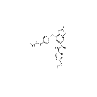 CCOc1ccc(NC(=O)c2cc(Oc3ccc(SOOC)cc3)c3cc(C)oc3c2)nc1